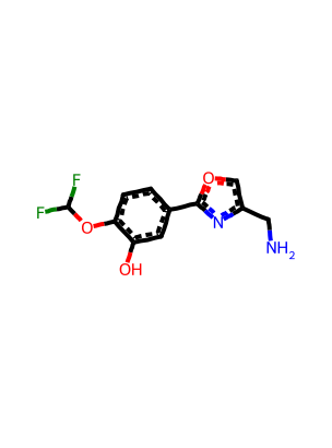 NCc1coc(-c2ccc(OC(F)F)c(O)c2)n1